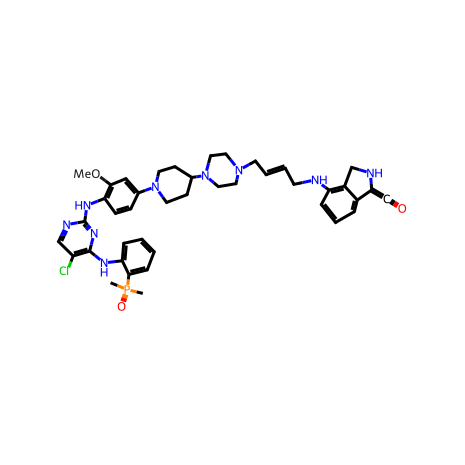 COc1cc(N2CCC(N3CCN(CC=CCNc4cccc5c4CNC5=C=O)CC3)CC2)ccc1Nc1ncc(Cl)c(Nc2ccccc2P(C)(C)=O)n1